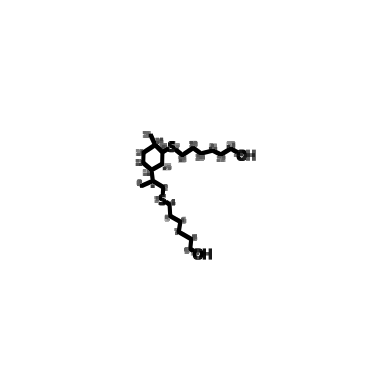 CC(CSCCCCCCO)C1CCC(C)C(SCCCCCCO)C1